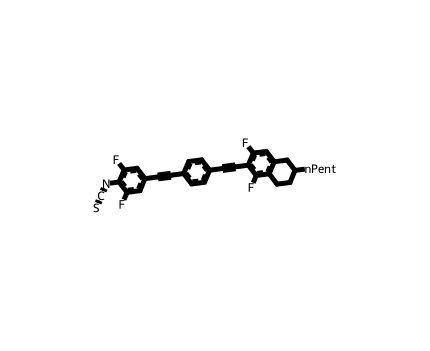 CCCCCC1CCc2c(cc(F)c(C#Cc3ccc(C#Cc4cc(F)c(N=C=S)c(F)c4)cc3)c2F)C1